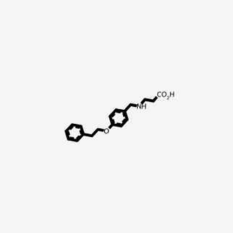 O=C(O)CCNCc1ccc(OCCc2ccccc2)cc1